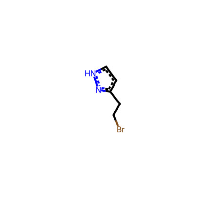 BrCCc1cc[nH]n1